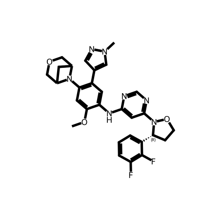 COc1cc(N2C3COCC2C3)c(-c2cnn(C)c2)cc1Nc1cc(N2OCC[C@@H]2c2cccc(F)c2F)ncn1